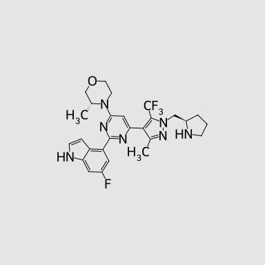 Cc1nn(C[C@H]2CCCN2)c(C(F)(F)F)c1-c1cc(N2CCOC[C@H]2C)nc(-c2cc(F)cc3[nH]ccc23)n1